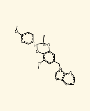 COc1ccc([C@H]2Oc3c(OC)cc(Cn4cnc5cccnc54)cc3O[C@@H]2C)cn1